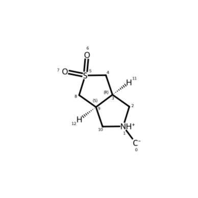 [CH2-][NH+]1C[C@@H]2CS(=O)(=O)C[C@@H]2C1